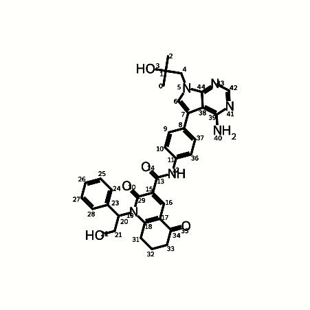 CC(C)(O)Cn1cc(-c2ccc(NC(=O)c3cc4c(n(C(CO)c5ccccc5)c3=O)CCCC4=O)cc2)c2c(N)ncnc21